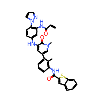 C=CC(=O)Nc1cc(Nc2cc(-c3cccc(NC(=O)c4cc5ccccc5s4)c3C)cn(C)c2=O)ccc1-n1cccn1